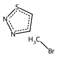 CBr.c1csnn1